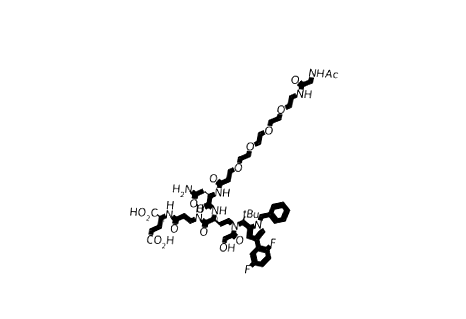 CC(=O)NCC(=O)NCCOCCOCCOCCOCCC(=O)N[C@@H](CC(N)=O)C(=O)N[C@@H](CCN(C(=O)CO)[C@@H](c1cc(-c2cc(F)ccc2F)cn1Cc1ccccc1)C(C)(C)C)C(=O)NCCC(=O)N[C@H](CCC(=O)O)C(=O)O